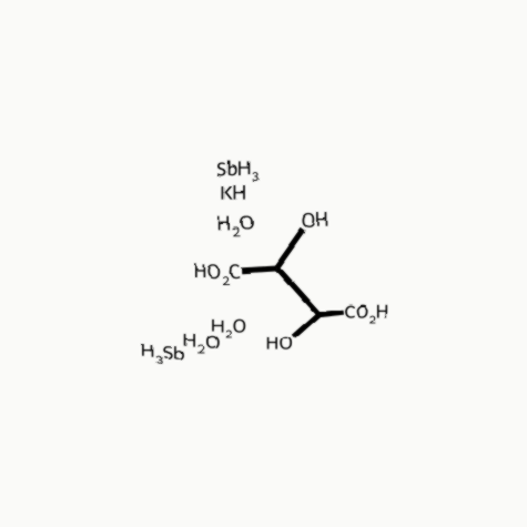 O.O.O.O=C(O)C(O)C(O)C(=O)O.[KH].[SbH3].[SbH3]